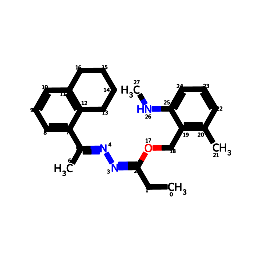 CCC(=NN=C(C)c1cccc2c1CCCC2)OCc1c(C)cccc1NC